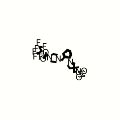 CS(=O)(=O)N1CC2(CCN(c3ccccc3CN3CCN(C(=O)OC(C(F)(F)F)C(F)(F)F)CC3)C2)C1